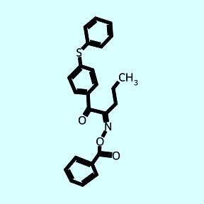 CCCC(=NOC(=O)c1ccccc1)C(=O)c1ccc(Sc2ccccc2)cc1